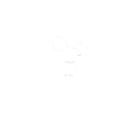 O=S(=O)(O)c1ccc(-c2ncsc2-c2ccc(S(=O)(=O)O)cc2)cc1